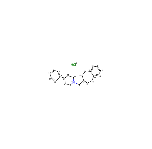 Cl.c1ccc(C2CCN(CC3CCc4ccccc4CC3)CC2)cc1